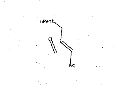 C=O.CCCCCCC=CC(C)=O